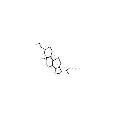 CCC[C@@]1(O)CC[C@@]2(C)[C@H](CC[C@@H]3[C@@H]2CC[C@]2(C)[C@@H](C(C)CN)CC[C@@H]32)C1